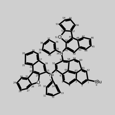 CC(C)(C)c1cc2ccc3c(N(c4ccccc4)c4cc5ccccc5c5c4oc4ccccc45)cc(N(c4ccccc4)c4cc5ccccc5c5c4oc4ccccc45)c4ccc(c1)c2c34